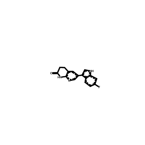 O=C1CCc2cc(-c3c[nH]c4cc(F)ccc34)cnc2N1